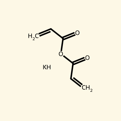 C=CC(=O)OC(=O)C=C.[KH]